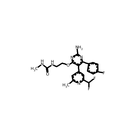 CNC(=O)NCCOc1nc(N)nc(-c2ccc(F)cc2)c1-c1cc(C)nc(C(F)F)c1